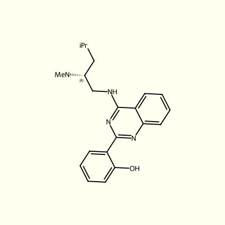 CN[C@@H](CNc1nc(-c2ccccc2O)nc2ccccc12)CC(C)C